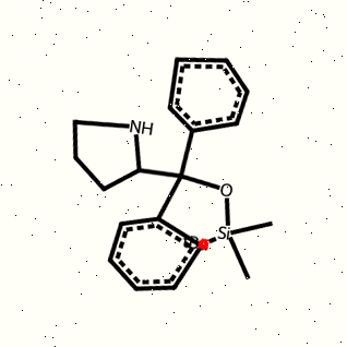 CC(C)(C)[Si](C)(C)OC(c1ccccc1)(c1ccccc1)C1CCCN1